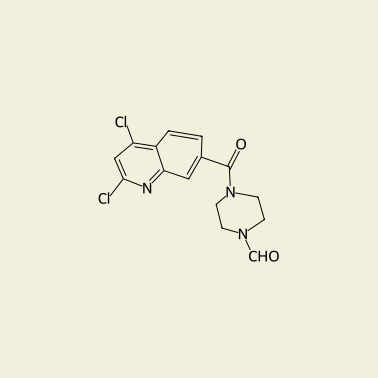 O=CN1CCN(C(=O)c2ccc3c(Cl)cc(Cl)nc3c2)CC1